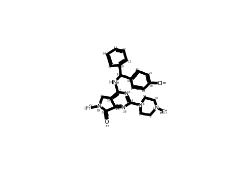 CCN1CCN(c2nc(NC(c3ccccc3)c3ccc(Cl)cc3)c3c(n2)C(=O)N(C(C)C)C3)CC1